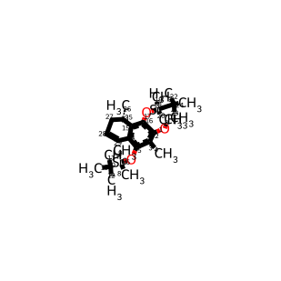 COc1c(C)c(O[Si](C)(C)C(C)(C)C)c2c(c1O[Si](C)(C)C(C)(C)C)[C@@H](C)CC=C2